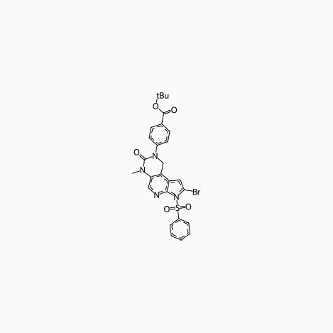 CN1C(=O)N(c2ccc(C(=O)OC(C)(C)C)cc2)Cc2c1cnc1c2cc(Br)n1S(=O)(=O)c1ccccc1